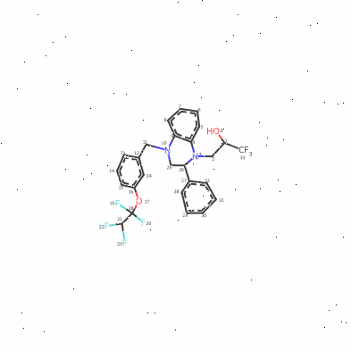 OC(CN1c2ccccc2N(Cc2cccc(OC(F)(F)C(F)F)c2)CC1c1ccccc1)C(F)(F)F